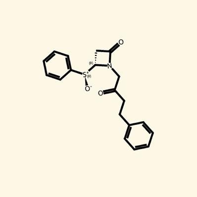 O=C(CCc1ccccc1)CN1C(=O)C[C@H]1[S@@+]([O-])c1ccccc1